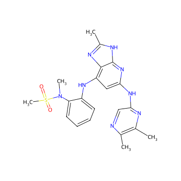 Cc1nc2c(Nc3ccccc3N(C)S(C)(=O)=O)cc(Nc3cnc(C)c(C)n3)nc2[nH]1